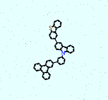 c1cc(-c2ccc3c4ccccc4c4ccccc4c3c2)cc(-n2c3ccccc3c3cc(-c4ccc5sc6ccccc6c5c4)ccc32)c1